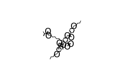 C=C(C)C(=O)OCCCCCCc1cc(OC(=O)c2ccc(OCCCC)cc2)cc(C(=O)O)c1OC(=O)c1ccc(OCCCC)cc1